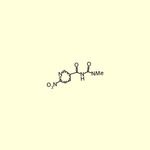 CNC(=O)NC(=O)c1ccc([N+](=O)[O-])nc1